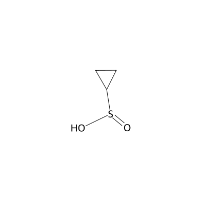 O=S(O)C1CC1